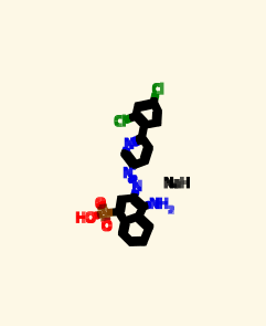 Nc1c(N=Nc2ccc(-c3ccc(Cl)cc3Cl)nc2)cc(S(=O)(=O)O)c2ccccc12.[NaH]